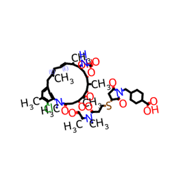 C/C1=C\C=C\C(C)C2(O)CC(OC(=O)N2)C(C)C2OC2(C)C(OC(=O)C(C)N(C)C(=O)CCSC2CC(=O)N(CC3CCC(C(=O)O)CC3)C2=O)CC(=O)N(C)c2cc(cc(C)c2Cl)C1